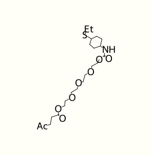 CCSC1CCC(NC(=O)OCCOCCOCCOCCOC(=O)CCC(C)=O)CC1